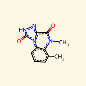 Cc1cccc2c1n(C)c(=O)c1n[nH]c(=O)n12